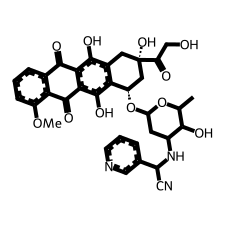 COc1cccc2c1C(=O)c1c(O)c3c(c(O)c1C2=O)C[C@@](O)(C(=O)CO)C[C@@H]3OC1CC(NC(C#N)c2cccnc2)C(O)C(C)O1